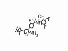 Cc1c(-c2cnc(N)c(-c3ccc(C(=O)N[C@H](CO)c4cc(F)cc(CF)c4)c(F)c3)c2)cnn1C